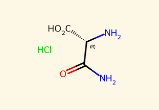 Cl.NC(=O)[C@@H](N)C(=O)O